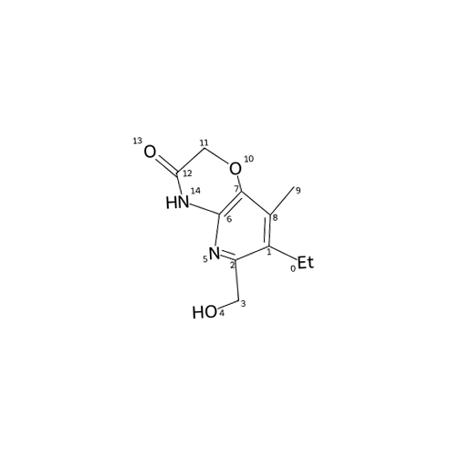 CCc1c(CO)nc2c(c1C)OCC(=O)N2